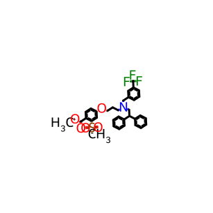 COC(=O)c1ccc(OCCCN(Cc2cccc(C(F)(F)F)c2)CC(c2ccccc2)c2ccccc2)cc1S(C)(=O)=O